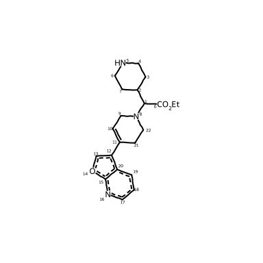 CCOC(=O)C(C1CCNCC1)N1CC=C(c2coc3ncccc23)CC1